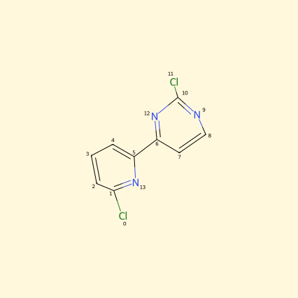 Clc1cccc(-c2ccnc(Cl)n2)n1